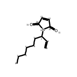 C=CC(CCCCCC)N1C(=O)C=CC1=O